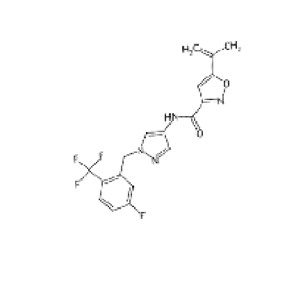 C=C(C)c1cc(C(=O)Nc2cnn(Cc3cc(F)ccc3C(F)(F)F)c2)no1